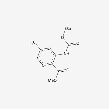 COC(=O)c1ncc(C(F)(F)F)cc1NC(=O)OC(C)(C)C